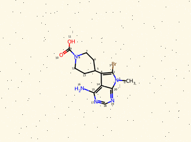 Cn1c(Br)c(C2CCN(C(=O)O)CC2)c2c(N)ncnc21